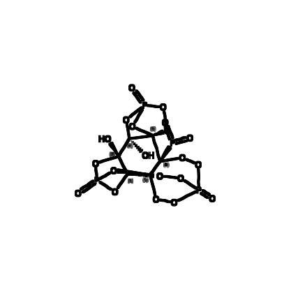 O=P(=O)[C@]12OOP3(=O)OO[C@]45OP(=O)(O[C@]4(O)[C@@]4(O)OP6(=O)OO[C@]41O6)O[C@@]52OO3